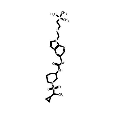 C[Si](C)(C)CCOCn1ccc2nc(NC(=O)NC3CCCN(S(=O)(=O)C(C4CC4)C(F)(F)F)C3)cnc21